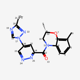 Cc1cccc2c1O[C@@H](C)CN2C(=O)c1cc(-n2cnc(C(C)C)n2)cnn1